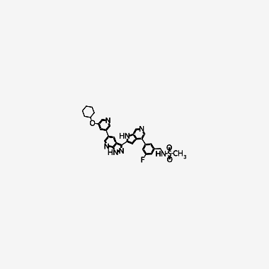 CS(=O)(=O)NCc1cc(F)cc(-c2cncc3[nH]c(-c4n[nH]c5ncc(-c6cncc(OC7CCCCC7)c6)cc45)cc23)c1